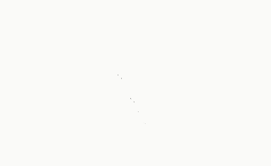 CCOC(=O)C(C)(C)N1CCN(c2ccc(F)cc2)CC1